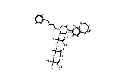 O=C(O)C(F)(F)F.O=C(O)C(F)(F)F.O=C(O)C(F)(F)F.c1ccc(CCCCN2CCN(c3ccc4c(n3)OCCNC4)CC2)cc1